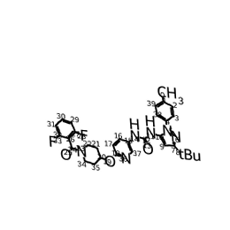 Cc1ccc(-n2nc(C(C)(C)C)cc2NC(=O)Nc2ccc(OC3CCN(C(=O)c4c(F)cccc4F)CC3)nc2)cc1